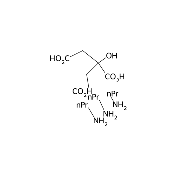 CCCN.CCCN.CCCN.O=C(O)CC(O)(CC(=O)O)C(=O)O